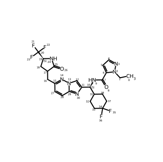 CCn1nccc1C(=O)N[C@H](c1cn2nc(CC3C[C@@H](C(F)(F)F)NC3=O)ccc2n1)C1CCC(F)(F)CC1